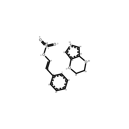 O=[SH](=O)OC=Cc1ccccc1.c1scc2c1OCCO2